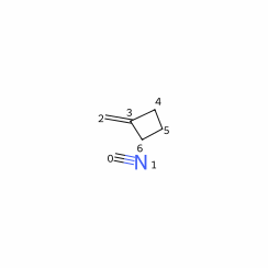 C#N.C=C1CCC1